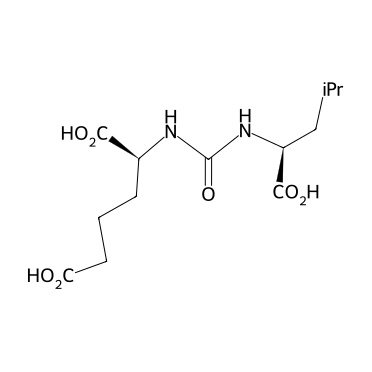 CC(C)C[C@H](NC(=O)N[C@@H](CCCC(=O)O)C(=O)O)C(=O)O